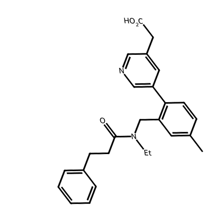 CCN(Cc1cc(C)ccc1-c1cncc(CC(=O)O)c1)C(=O)CCc1ccccc1